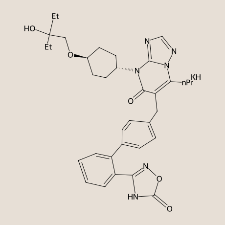 CCCc1c(Cc2ccc(-c3ccccc3-c3noc(=O)[nH]3)cc2)c(=O)n([C@H]2CC[C@H](OCC(O)(CC)CC)CC2)c2ncnn12.[KH]